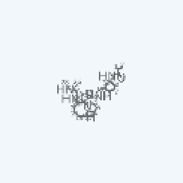 C=CC(=O)Nc1cccc(CNC(=O)[C@@H]2CC[C@@H]3CCCC[C@H](NC[C@H](C)NC)C(=O)N32)c1